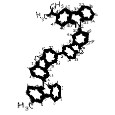 Cc1ccc2c(c1)c1ccccc1n2-c1ccc2oc3ccc(-c4ccc5oc6ccc(-n7c8ccccc8c8cc(C(C)C)ccc87)cc6c5c4)cc3c2c1